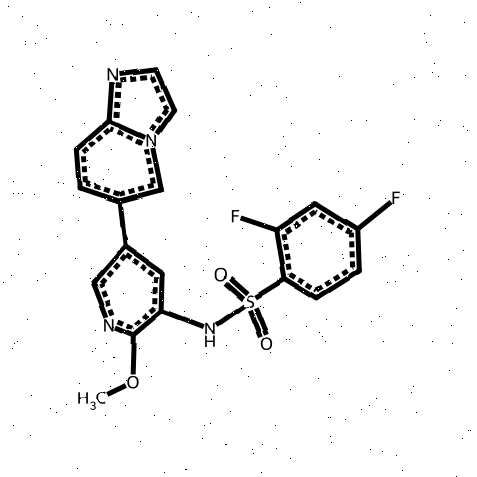 COc1ncc(-c2ccc3nccn3c2)cc1NS(=O)(=O)c1ccc(F)cc1F